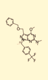 COc1nc(N(C)C)nc2c1c(COCc1ccccc1)nn2[C@@H](C)c1ccc(C(F)(F)F)cc1